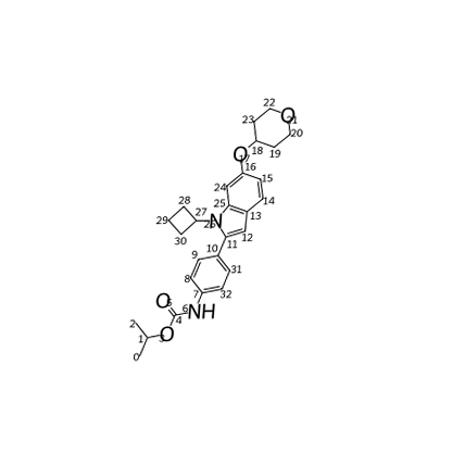 CC(C)OC(=O)Nc1ccc(-c2cc3ccc(OC4CCOCC4)cc3n2C2CCC2)cc1